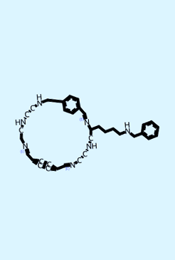 C1=N/CCNCCNCc2ccc(cc2)/C=N/C(CCCCNCc2ccccc2)CNCC/N=C/c2ccc/1cc2